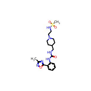 Cc1noc(-c2ccccc2NC(=O)NCC2CCN(CCNS(C)(=O)=O)CC2)n1